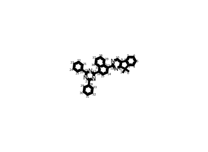 CC1(C)c2ccccc2-c2cnc(-c3ccc(-c4nc(-c5ccccc5)nc(-c5ccccc5)n4)c4ccccc34)nc21